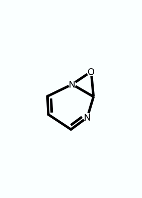 C1=CN2OC2N=C1